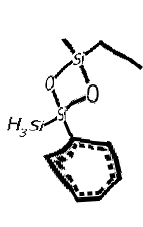 CC[Si]1(C)O[Si]([SiH3])(c2ccccc2)O1